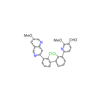 COc1cnc2cc(-c3cccc(-c4cccc(-c5ccc(C=O)c(OC)n5)c4Cl)c3Cl)ncc2c1